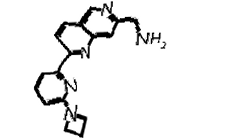 NCc1cc2nc(-c3cccc(N4CCC4)n3)ccc2cn1